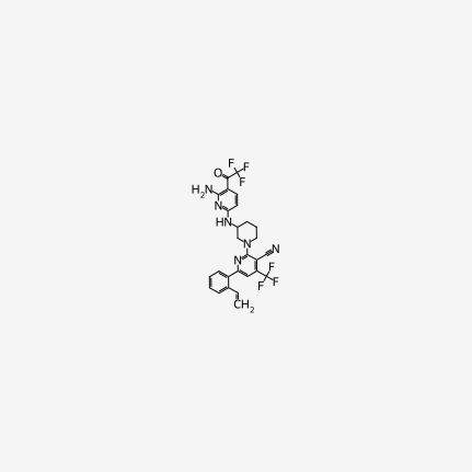 C=Cc1ccccc1-c1cc(C(F)(F)F)c(C#N)c(N2CCCC(Nc3ccc(C(=O)C(F)(F)F)c(N)n3)C2)n1